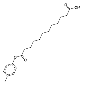 Cc1ccc(OC(=O)CCCCCCCCCCC(=O)O)cc1